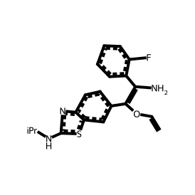 C=CO/C(=C(\N)c1ccccc1F)c1ccc2nc(NC(C)C)sc2c1